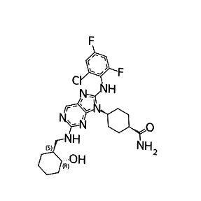 NC(=O)[C@H]1CC[C@@H](n2c(Nc3c(F)cc(F)cc3Cl)nc3cnc(NC[C@@H]4CCCC[C@H]4O)nc32)CC1